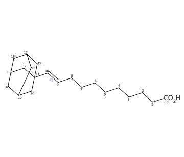 O=C(O)CCCCCCCC/C=C/C12CC3CC(CC(C3)C1)C2